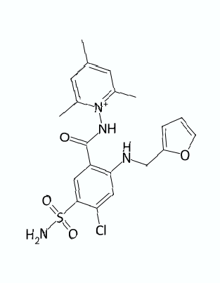 Cc1cc(C)[n+](NC(=O)c2cc(S(N)(=O)=O)c(Cl)cc2NCc2ccco2)c(C)c1